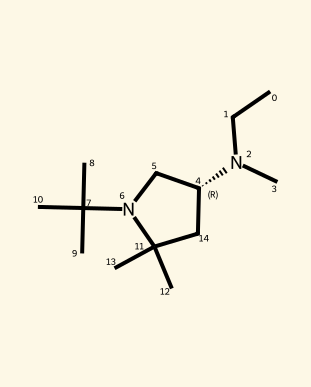 CCN(C)[C@H]1CN(C(C)(C)C)C(C)(C)C1